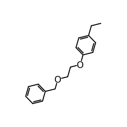 CCc1ccc(OCCOCc2ccccc2)cc1